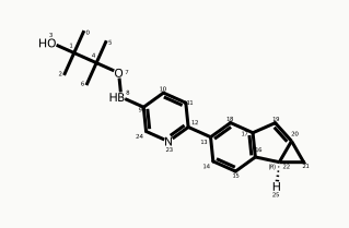 CC(C)(O)C(C)(C)OBc1ccc(-c2ccc3c(c2)C=C2C[C@H]23)nc1